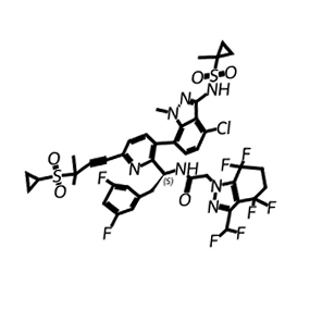 Cn1nc(NS(=O)(=O)C2(C)CC2)c2c(Cl)ccc(-c3ccc(C#CC(C)(C)S(=O)(=O)C4CC4)nc3[C@H](Cc3cc(F)cc(F)c3)NC(=O)Cn3nc(C(F)F)c4c3C(F)(F)CCC4(F)F)c21